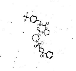 CC(F)(F)c1ccc(CNC(=O)[C@H]2CCCN2C(=O)[C@H]2CCCN(S(=O)(=O)N3CC(O)(c4ccccc4)C3)C2)cc1